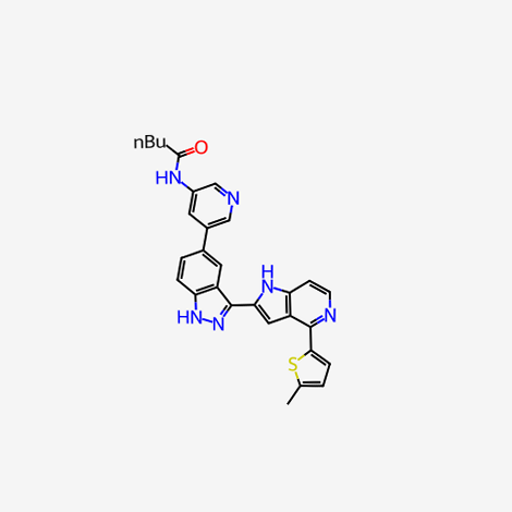 CCCCC(=O)Nc1cncc(-c2ccc3[nH]nc(-c4cc5c(-c6ccc(C)s6)nccc5[nH]4)c3c2)c1